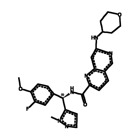 COc1ccc([C@H](NC(=O)c2ccc3cnc(NC4CCOCC4)cc3n2)c2ccnn2C)cc1F